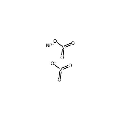 [Ni+2].[O]=[V](=[O])[O-].[O]=[V](=[O])[O-]